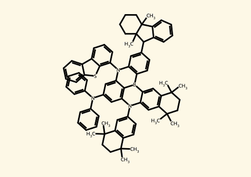 CC1(C)CCC(C)(C)c2cc(N3c4cc5c(cc4B4c6ccc(C7c8ccccc8C8(C)CCCCC78C)cc6N(c6cccc7c6sc6ccccc67)c6cc(N(c7ccccc7)c7ccccc7)cc3c64)C(C)(C)CCC5(C)C)ccc21